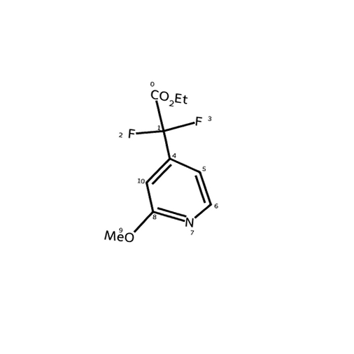 CCOC(=O)C(F)(F)c1ccnc(OC)c1